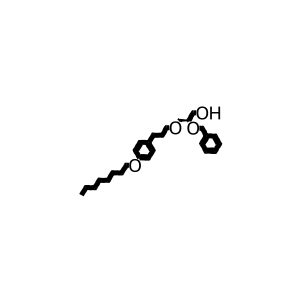 CCCCCCCCOc1ccc(CCCOC[C@@H](CO)OCc2ccccc2)cc1